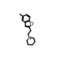 Cc1ccc2oc(CCN3CCCCC3)cc2c1